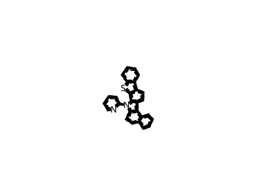 c1ccc(-n2c3ccc4ccccc4c3c3ccc4c5ccccc5sc4c32)nc1